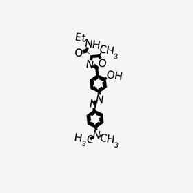 CCNC(=O)[C@H]1N=C(c2ccc(/N=N/c3ccc(N(C)C)cc3)cc2O)O[C@H]1C